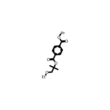 CCOCC(C)(C)OC(=O)c1ccc(C(=O)OC(C)C)cc1